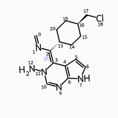 C=N/C(=C1/c2cc[nH]c2N=CN1N)[C@H]1CC[C@H](CCl)CC1